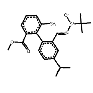 COC(=O)c1cccc(S)c1-c1ccc(C(C)C)cc1/C=N/[S+]([O-])C(C)(C)C